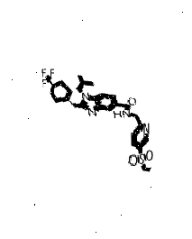 CCS(=O)(=O)c1ccc(CNC(=O)c2ccc3c(c2)nc(C[C@H]2CC[C@H](C(F)(F)F)CC2)n3CC(C)C)nc1